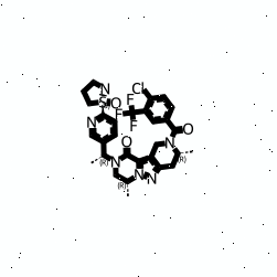 C[C@@H]1Cc2nn3c(c2CN1C(=O)c1ccc(Cl)c(C(F)(F)F)c1)C(=O)N([C@H](C)c1ccc([S@]2(=O)=NCCC2)nc1)C[C@H]3C